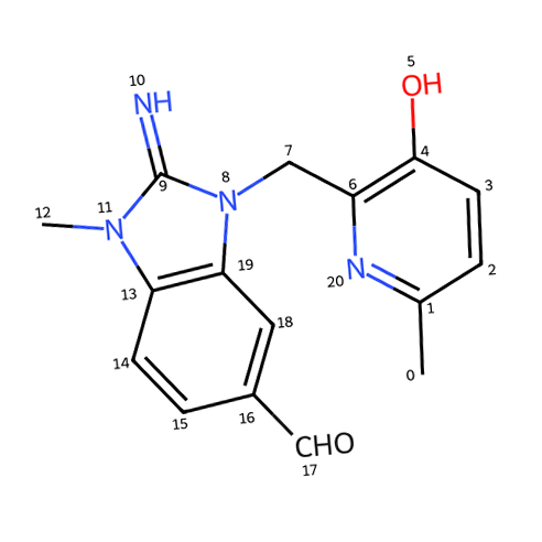 Cc1ccc(O)c(Cn2c(=N)n(C)c3ccc(C=O)cc32)n1